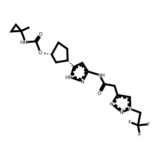 CC1(NC(=O)O[C@@H]2CC[C@H](c3cc(NC(=O)Cc4cn(CC(F)(F)F)nn4)n[nH]3)C2)CC1